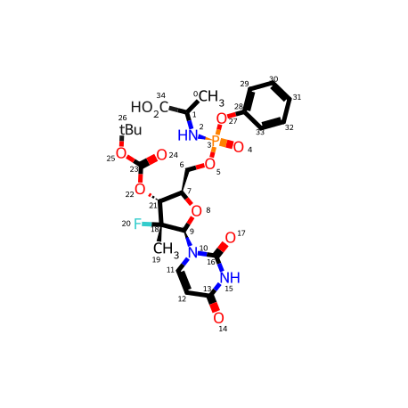 CC(N[P@@](=O)(OC[C@H]1O[C@@H](n2ccc(=O)[nH]c2=O)[C@](C)(F)[C@@H]1OC(=O)OC(C)(C)C)Oc1ccccc1)C(=O)O